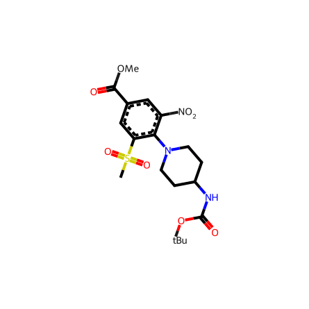 COC(=O)c1cc([N+](=O)[O-])c(N2CCC(NC(=O)OC(C)(C)C)CC2)c(S(C)(=O)=O)c1